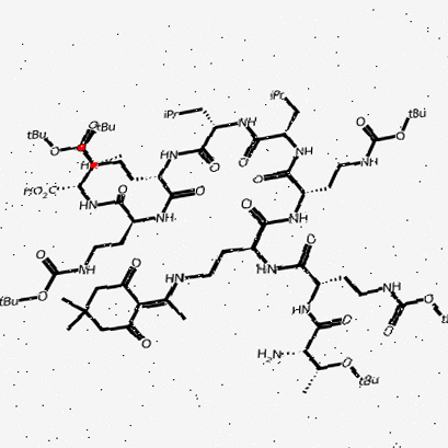 CC(NCC[C@H](NC(=O)[C@H](CCNC(=O)OC(C)(C)C)NC(=O)[C@@H](N)[C@@H](C)OC(C)(C)C)C(=O)N[C@@H](CCNC(=O)OC(C)(C)C)C(=O)N[C@H](CC(C)C)C(=O)N[C@@H](CC(C)C)C(=O)N[C@@H](CCNC(=O)OC(C)(C)C)C(=O)N[C@@H](CCNC(=O)OC(C)(C)C)C(=O)N[C@H](C(=O)O)[C@@H](C)OC(C)(C)C)=C1C(=O)CC(C)(C)CC1=O